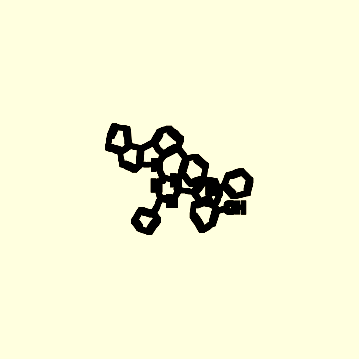 Oc1ccccc1N(c1ccccc1)c1ccc(-c2cccc3c4c5ccccc5ccc4n(-c4nc(-c5ccccc5)nc(-c5ccccc5)n4)c23)cc1